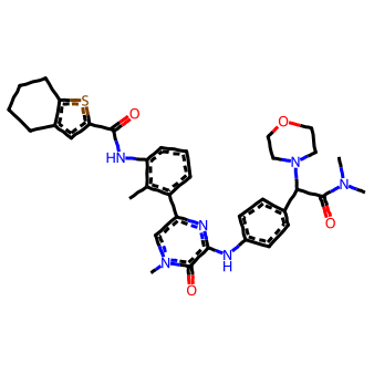 Cc1c(NC(=O)c2cc3c(s2)CCCC3)cccc1-c1cn(C)c(=O)c(Nc2ccc(C(C(=O)N(C)C)N3CCOCC3)cc2)n1